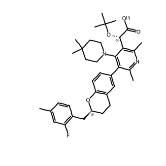 Cc1ccc(C[C@@H]2CCc3cc(-c4c(C)nc(C)c([C@H](OC(C)(C)C)C(=O)O)c4N4CCC(C)(C)CC4)ccc3O2)c(F)c1